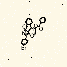 O=C(ON1C=COc2c(c(C(F)(F)F)nn2-c2ccc(Br)cc2)C1c1ccccc1)c1ccccc1